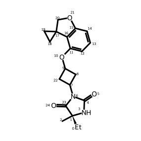 CC[C@]1(C)NC(=O)N(C2CC(Oc3cccc4c3C3(CC3)CO4)C2)C1=O